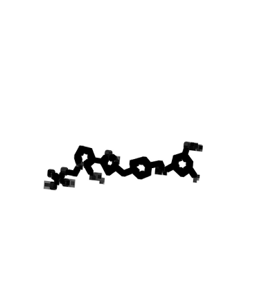 COc1cc(F)cc(NCc2ccc(Cc3cc(-c4ccc[n+](COP(=O)(O)O)c4N)on3)cc2)c1